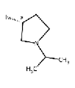 CC(C)N1CC[C@@H](I)C1